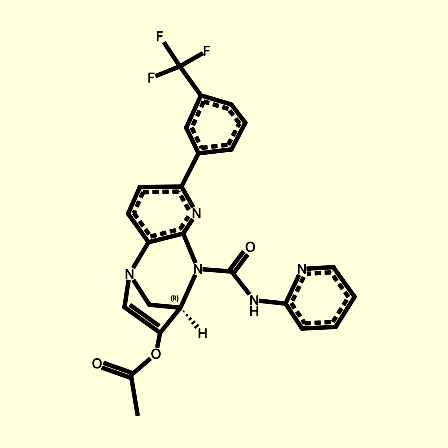 CC(=O)OC1=CN2C[C@H]1N(C(=O)Nc1ccccn1)c1nc(-c3cccc(C(F)(F)F)c3)ccc12